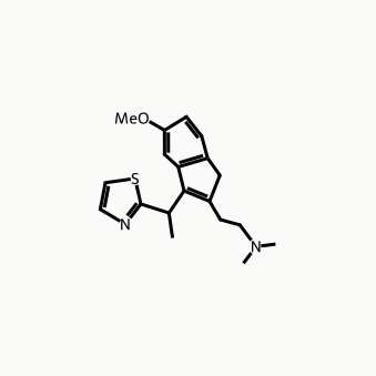 COc1ccc2c(c1)C(C(C)c1nccs1)=C(CCN(C)C)C2